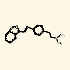 CN(C)CCc1ccc(/C=C/c2n[nH]c3ccccc23)cc1